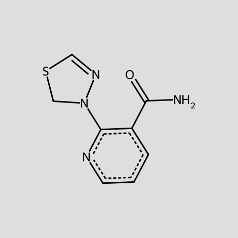 NC(=O)c1cccnc1N1CSC=N1